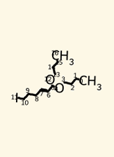 CCCCOC(/C=C/CCCI)OCCCC